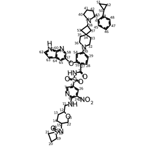 O=C(NS(=O)(=O)c1cnc(NCC2CCC(N=S3(=O)CCC3)CO2)c([N+](=O)[O-])c1)c1ccc(N2CCC3(CC2)CC(N2CCC[C@@H]2c2ccccc2C2CC2)C3)cc1Oc1cnc2[nH]ccc2c1